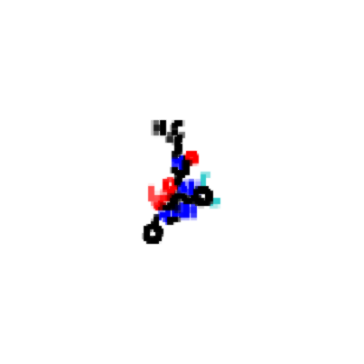 CCCCCN1CC(C(=O)NC(Cc2cc(F)cc(F)c2)[C@H](O)[C@@H]2NCCN(Cc3ccccc3)C2=O)CC1=O